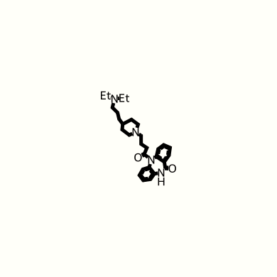 CCN(CC)CCCC1CCN(CCCC(=O)N2c3ccccc3NC(=O)c3ccccc32)CC1